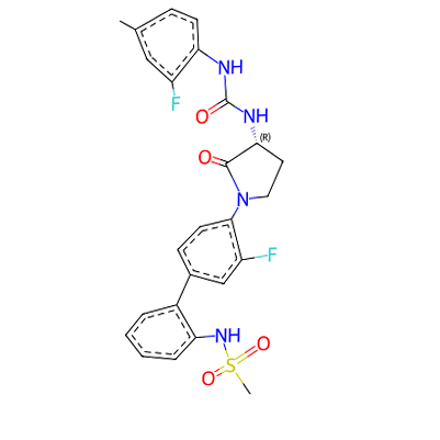 Cc1ccc(NC(=O)N[C@@H]2CCN(c3ccc(-c4ccccc4NS(C)(=O)=O)cc3F)C2=O)c(F)c1